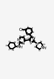 Clc1cccc(-c2nc(N3CCNCC3)sc2-c2ccnc(NC3CCCCC3)n2)c1